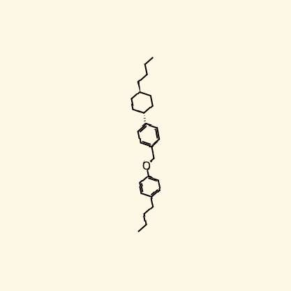 CCCCc1ccc(OCc2ccc([C@H]3CC[C@H](CCCC)CC3)cc2)cc1